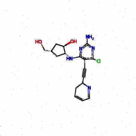 Nc1nc(Cl)c(C#CC2CC=CC=N2)c(N[C@@H]2C[C@H](CO)C[C@H]2O)n1